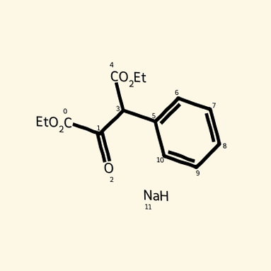 CCOC(=O)C(=O)C(C(=O)OCC)c1ccccc1.[NaH]